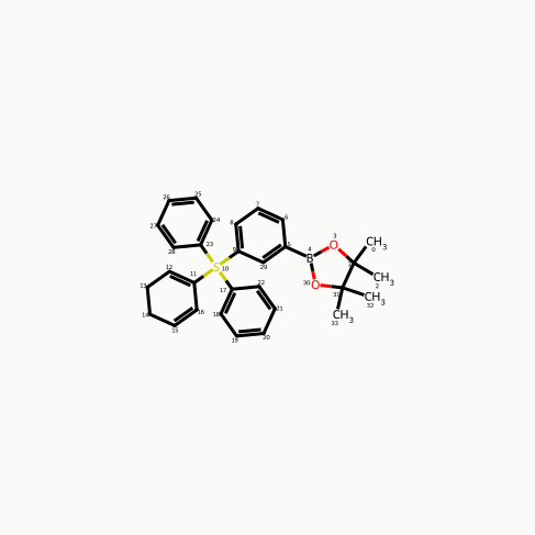 CC1(C)OB(c2cccc(S(C3=CCCC=C3)(c3ccccc3)c3ccccc3)c2)OC1(C)C